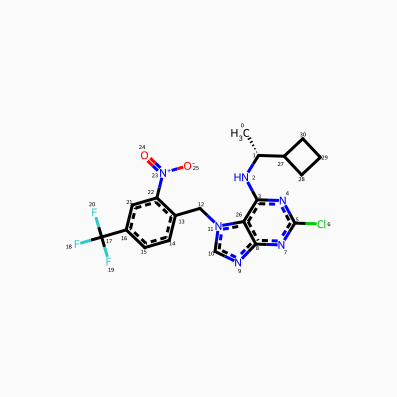 C[C@@H](Nc1nc(Cl)nc2ncn(Cc3ccc(C(F)(F)F)cc3[N+](=O)[O-])c12)C1CCC1